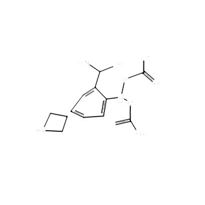 C1CNC1.CC(=O)O[SiH](OC(C)=O)c1ccccc1C(C)N